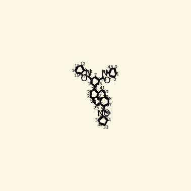 c1ccc2oc(-c3cc(-c4nc5ccccc5o4)cc(-c4ccc5ccc6c(-c7nc8ccccc8o7)ccc7ccc4c5c76)c3)nc2c1